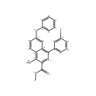 COC(=O)c1nc(-c2cncc(F)c2)c2cc(Oc3ccccc3)ccc2c1O